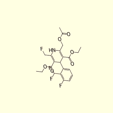 CCOC(=O)C1=C(CF)NC(COC(C)=O)=C(C(=O)OCC)C1c1cccc(F)c1C(F)F